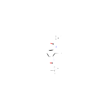 CC(C)(C)c1c(NC(=O)[C@H]2CC2(C)C)cccc1NC(=O)[C@H]1CC1(C)C